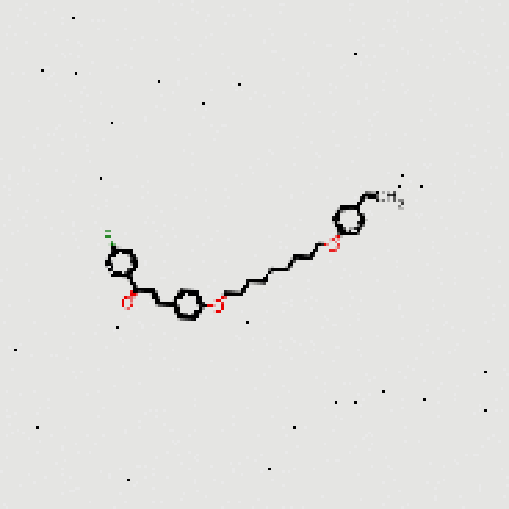 C=Cc1ccc(OCCCCCCCCCOc2ccc(C=CC(=O)c3ccc(F)cc3)cc2)cc1